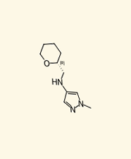 Cn1cc(NC[C@H]2CCCCO2)cn1